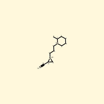 CC1CCCCN1CCCN1CC1C#N